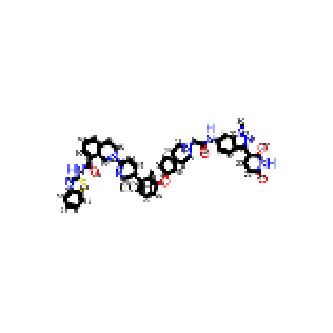 Cc1c(OC2CCC3(CCN(CC(=O)Nc4ccc5c(C6CCC(=O)NC6=O)nn(C)c5c4)CC3)C2)cccc1-c1ccc(N2CCc3cccc(C(=O)Nc4nc5ccccc5s4)c3C2)nc1C(=O)O